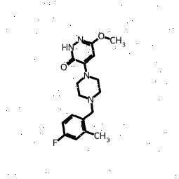 COc1cc(N2CCN(Cc3ccc(F)cc3C)CC2)c(=O)[nH]n1